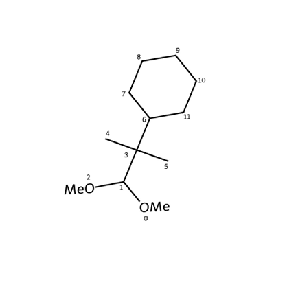 COC(OC)C(C)(C)C1CCCCC1